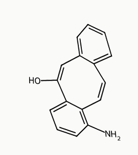 Nc1cccc2c1C=Cc1ccccc1C=C2O